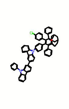 Clc1ccc(-c2c(-c3ccc(-n4c5ccccc5c5cc(-c6ccc7c8ccccc8n(-c8ccccc8)c7c6)ccc54)cc3)c(-c3ccccc3)c3c(c2-c2ccccc2)C2CC4CC(C2)CC3C4)cc1